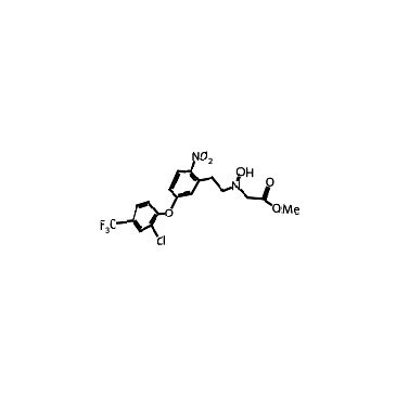 COC(=O)CN(O)CCc1cc(Oc2ccc(C(F)(F)F)cc2Cl)ccc1[N+](=O)[O-]